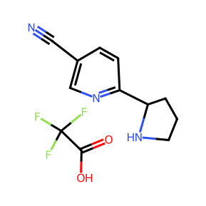 N#Cc1ccc(C2CCCN2)nc1.O=C(O)C(F)(F)F